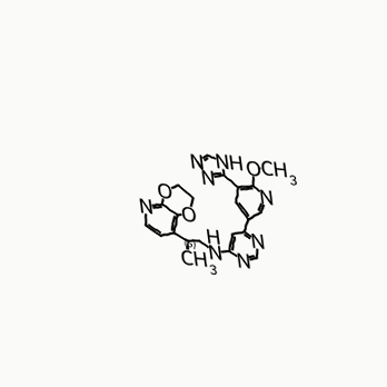 COc1ncc(-c2cc(NC[C@@H](C)c3ccnc4c3OCCO4)ncn2)cc1-c1nnc[nH]1